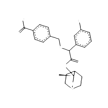 O=C(O)c1ccc(CNC(C(=O)O[C@H]2CN3CCC2CC3)c2cccc(F)c2)cc1